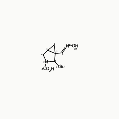 CC(C)(C)C1N(C(=O)O)CC2CC21C=NO